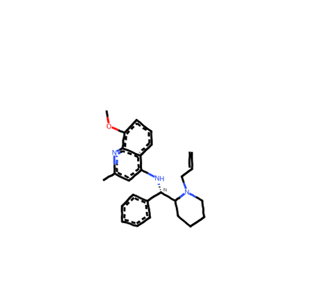 C=CCN1CCCCC1[C@@H](Nc1cc(C)nc2c(OC)cccc12)c1ccccc1